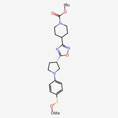 COOSc1ccc(N2CC[C@H](c3nc(C4CCN(C(=O)OC(C)(C)C)CC4)no3)C2)cc1